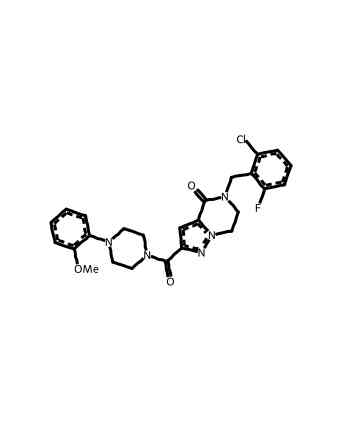 COc1ccccc1N1CCN(C(=O)c2cc3n(n2)CCN(Cc2c(F)cccc2Cl)C3=O)CC1